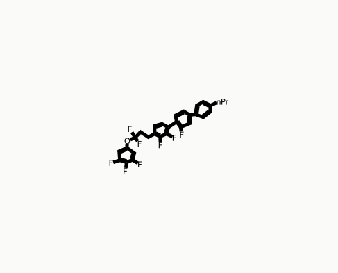 CCCc1ccc(-c2ccc(-c3ccc(CCC(F)(F)Oc4cc(F)c(F)c(F)c4)c(F)c3F)c(F)c2)cc1